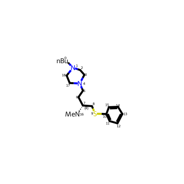 CCCCN1CCN(CC[C@H](CSc2ccccc2)NC)CC1